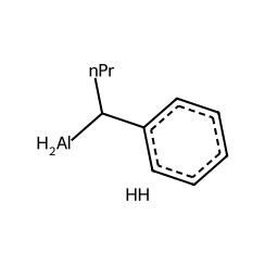 CCC[CH]([AlH2])c1ccccc1.[HH]